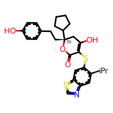 CC(C)c1cc2ncsc2cc1SC1=C(O)C[C@@](CCc2ccc(O)cc2)(C2CCCC2)OC1=O